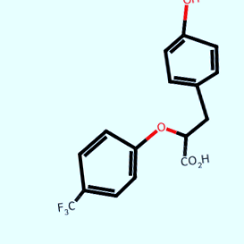 O=C(O)C(Cc1ccc(O)cc1)Oc1ccc(C(F)(F)F)cc1